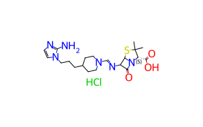 CC1(C)SC2C(N=CN3CCC(CCCn4ccnc4N)CC3)C(=O)N2[C@H]1C(=O)O.Cl